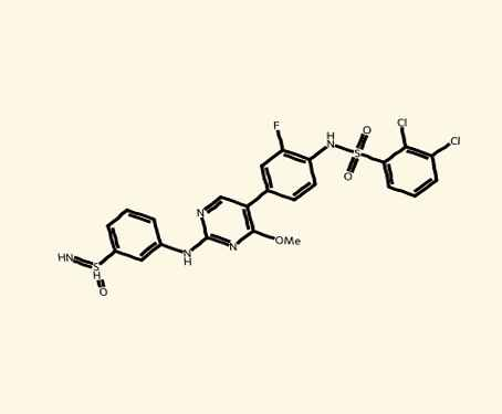 COc1nc(Nc2cccc([SH](=N)=O)c2)ncc1-c1ccc(NS(=O)(=O)c2cccc(Cl)c2Cl)c(F)c1